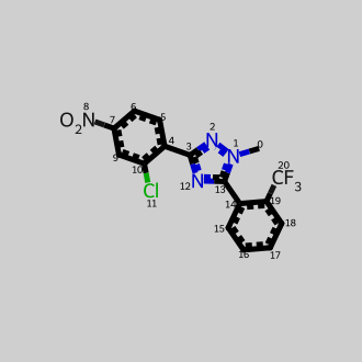 Cn1nc(-c2ccc([N+](=O)[O-])cc2Cl)nc1-c1ccccc1C(F)(F)F